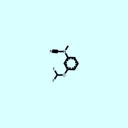 CN(C#N)c1cccc(OC(F)F)c1